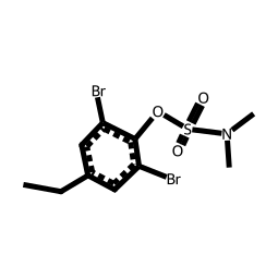 CCc1cc(Br)c(OS(=O)(=O)N(C)C)c(Br)c1